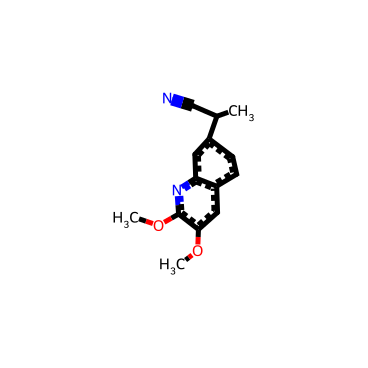 COc1cc2ccc(C(C)C#N)cc2nc1OC